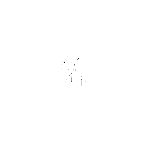 CC(=O)N[C@@]12CC(C)(C)[C@@H]3CC[C@]1(C)CCC[C@@]32C